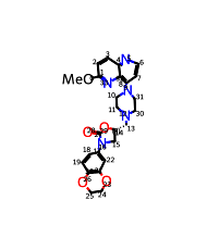 COc1ccc2nccc(N3CCN(C[C@@H]4CN(c5ccc6c(c5)OCCO6)C(=O)O4)CC3)c2n1